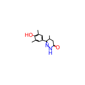 Cc1cc(C2=NNC(=O)CC2C)cc(C)c1O